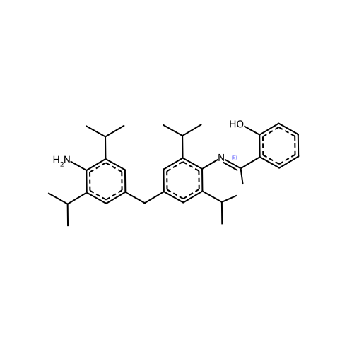 C/C(=N\c1c(C(C)C)cc(Cc2cc(C(C)C)c(N)c(C(C)C)c2)cc1C(C)C)c1ccccc1O